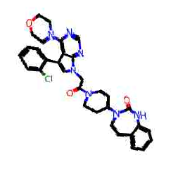 O=C(Cn1cc(-c2ccccc2Cl)c2c(N3CCOCC3)ncnc21)N1CCC(N2CCc3ccccc3NC2=O)CC1